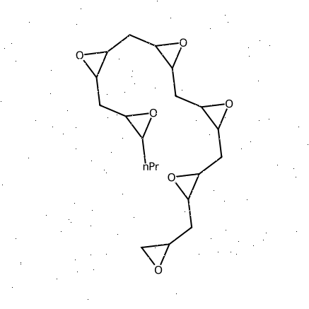 CCCC1OC1CC1OC1CC1OC1CC1OC1CC1OC1CC1CO1